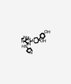 Oc1ccc(C2(O)CCN(c3nc(Nc4ccncc4)c4nc[nH]c4n3)CC2)cc1